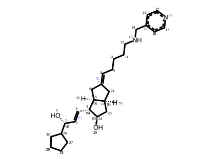 O[C@H](/C=C/[C@@H]1[C@H]2C/C(=C/CCCCNCc3ccncc3)C[C@H]2C[C@H]1O)C1CCCC1